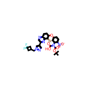 CC(C)(C)OC(=O)N(C(=O)O)c1cc(Oc2ccc3ncc(-c4cnn(CC5CC(F)(F)C5)c4)nc3c2Br)ccc1[N+](=O)[O-]